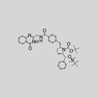 CC(C)(C)OC(=O)N1[C@H](Cc2ccc(C(=O)NCc3nc4ccccc4c(=O)[nH]3)cc2)CC[C@@H]1[C@H](O[Si](C)(C)C(C)(C)C)c1ccccc1